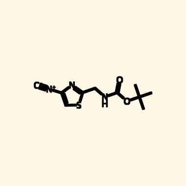 [C-]#[N+]c1csc(CNC(=O)OC(C)(C)C)n1